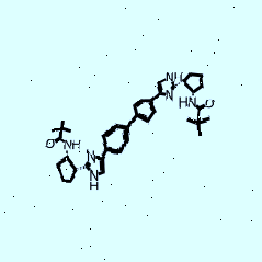 CC(C)(C)C(=O)N[C@H]1CCC[C@H]1c1nc(-c2ccc(-c3ccc(-c4c[nH]c([C@@H]5CCC[C@@H]5NC(=O)C(C)(C)C)n4)cc3)cc2)c[nH]1